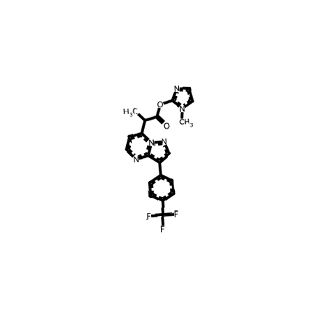 CC(C(=O)Oc1nccn1C)c1ccnc2c(-c3ccc(C(F)(F)F)cc3)cnn12